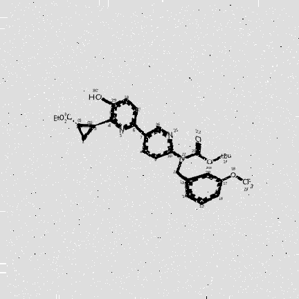 CCOC(=O)[C@H]1C[C@@H]1c1nc(-c2ccc(N(Cc3cccc(OC(F)(F)F)c3)C(=O)OC(C)(C)C)nc2)ccc1O